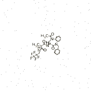 CC(=O)N1C[C@H](NC(=O)C(C)C(=O)NCC(F)(F)C(F)(F)F)C(=O)N(Cc2ccccc2)c2ccccc21